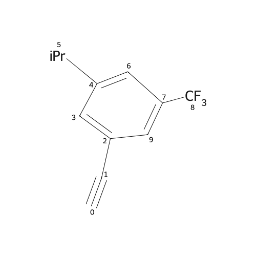 C#Cc1cc(C(C)C)cc(C(F)(F)F)c1